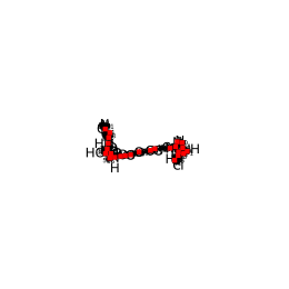 CC1=NN=C2C(CNOCCOCCOCCCOCCOCCOCC(=O)NC(C(=O)N3C[C@H](O)C[C@H]3C(=O)NCc3ccc(-c4ocnc4C)cc3)C(C)(C)C)N=C(c3ccc(Cl)cc3)c3c([nH]c(C)c3C)C12